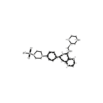 CC(C)S(=O)(=O)N1CCN(c2ccc(-c3cc4nccnc4c(NC[C@@H]4CNCCO4)n3)cc2)CC1